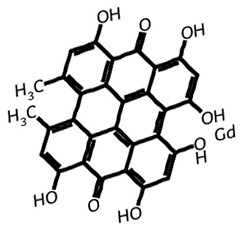 Cc1cc(O)c2c(=O)c3c(O)cc(O)c4c5c(O)cc(O)c6c(=O)c7c(O)cc(C)c8c1c2c(c34)c(c78)c65.[Gd]